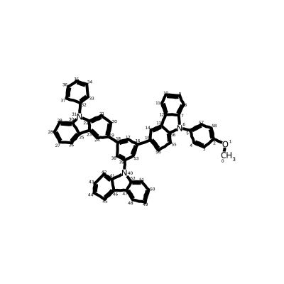 COc1ccc(-n2c3ccccc3c3cc(-c4cc(-c5ccc6c(c5)c5ccccc5n6-c5ccccc5)cc(-n5c6ccccc6c6ccccc65)c4)ccc32)cc1